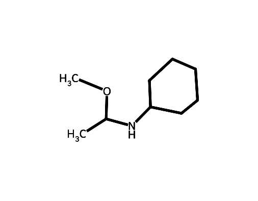 COC(C)NC1CCCCC1